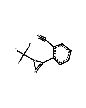 N#Cc1[c]cccc1C1=NN1C(F)(F)F